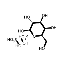 O=S(=O)(O)O.O=S(=O)(O)O.OC[C@H]1O[C@@H](O)[C@H](O)[C@@H](O)[C@H]1O